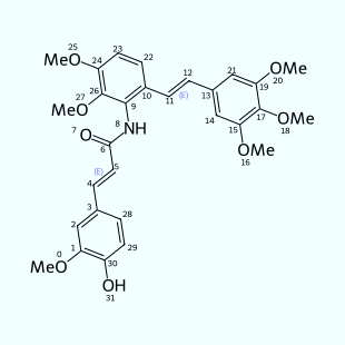 COc1cc(/C=C/C(=O)Nc2c(/C=C/c3cc(OC)c(OC)c(OC)c3)ccc(OC)c2OC)ccc1O